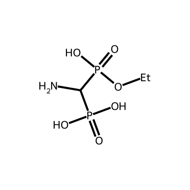 CCOP(=O)(O)C(N)P(=O)(O)O